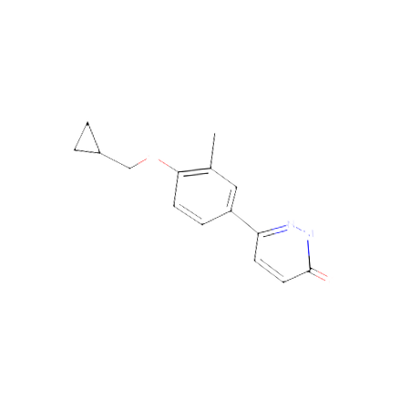 Cc1cc(-c2ccc(=O)[nH]n2)ccc1OCC1CC1